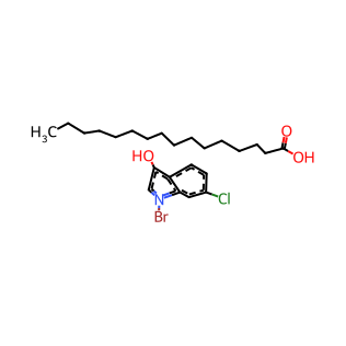 CCCCCCCCCCCCCCCC(=O)O.Oc1cn(Br)c2cc(Cl)ccc12